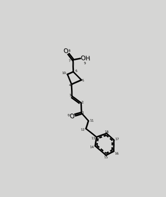 O=C(C=CC1CC(C(=O)O)C1)CCc1ccccc1